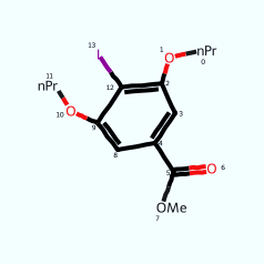 CCCOc1cc(C(=O)OC)cc(OCCC)c1I